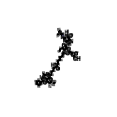 CC[C@H]1O[C@@H](n2cnc3c(=O)[nH]c(/N=C/N(C)C)nc32)[C@@H](OC(=O)CCC(=O)O)C1OCCCCCCNC(=O)CCCCO[C@@H]1O[C@H](CC)[C@H](C)[C@H](OC(=O)c2ccccc2)[C@H]1NC(C)=O